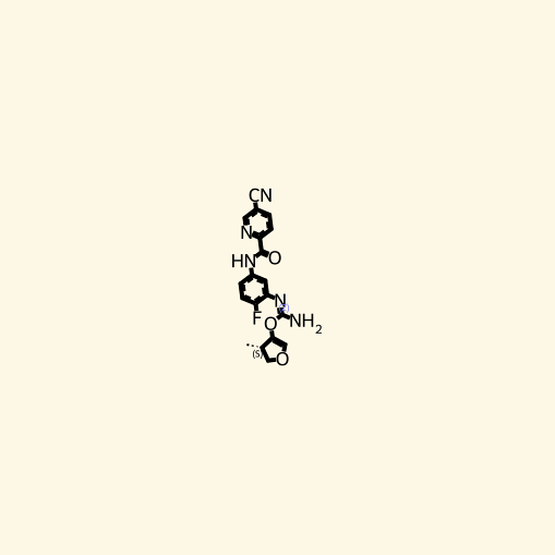 C[C@H]1COC=C1O/C(N)=N\c1cc(NC(=O)c2ccc(C#N)cn2)ccc1F